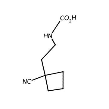 N#CC1(CCNC(=O)O)CCC1